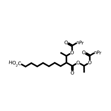 CCCC(=O)OC(C)OC(=O)C(CCCCCCCC(=O)O)C(C)OC(=O)CCC